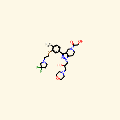 O=C(CO)N1CCc2c(c(-c3ccc(C(F)(F)F)c(SCCN4CCC(F)(F)C4)c3)nn2CC(O)CN2CCOCC2)C1